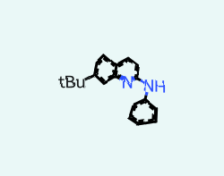 CC(C)(C)c1ccc2ccc(Nc3ccccc3)nc2c1